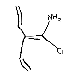 C=CC(C=C)=C(N)Cl